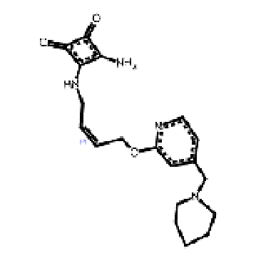 Nc1c(NC/C=C\COc2cc(CN3CCCCC3)ccn2)c(=O)c1=O